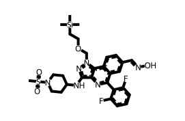 C[Si](C)(C)CCOCn1nc(NC2CCN(S(C)(=O)=O)CC2)c2nc(-c3c(F)cccc3F)c3cc(C=NO)ccc3c21